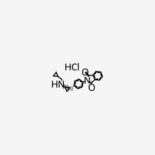 Cl.O=C1c2ccccc2C(=O)N1c1ccc([C@@H]2C[C@H]2NCC2CC2)cc1